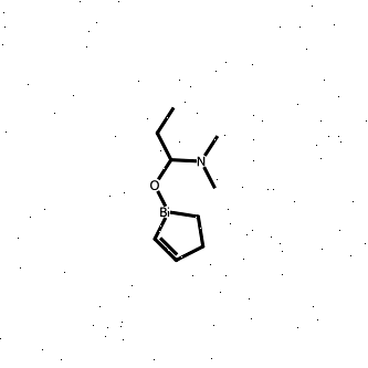 CCC([O][Bi]1[CH]=CC[CH2]1)N(C)C